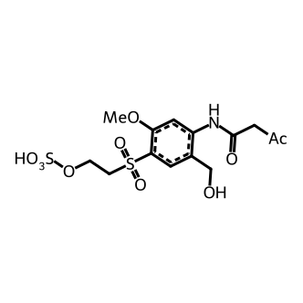 COc1cc(NC(=O)CC(C)=O)c(CO)cc1S(=O)(=O)CCOS(=O)(=O)O